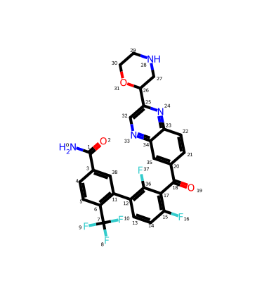 NC(=O)c1ccc(C(F)(F)F)c(-c2ccc(F)c(C(=O)c3ccc4nc(C5CNCCO5)cnc4c3)c2F)c1